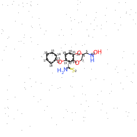 NC=S.ONCC1COc2cc(Oc3ccccc3)ccc2O1